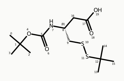 CC(C)(C)OC(=O)N[C@@H](CSSC(C)(C)C)CC(=O)O